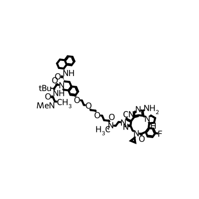 CN[C@@H](C)C(=O)N[C@H](C(=O)N1Cc2cc(OCCOCCOCCC(=O)N(C)CCn3nc4c(c3C#N)-c3cnc(N)c(c3)N3CCC[C@@H]3c3cc(F)ccc3C(=O)N(C3CC3)C4)ccc2C[C@H]1C(=O)N[C@@H]1CCCc2ccccc21)C(C)(C)C